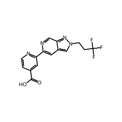 O=C(O)c1ccnc(-c2cc3cn(CCC(F)(F)F)nc3cn2)c1